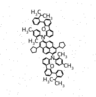 Cc1ccc(N(c2cc(C3CCCC3)c3ccc4c(N(c5ccc(C)cc5C)c5cccc6c5oc5c(-c7ccccc7C(C)C)cccc56)cc(C5CCCC5)c5ccc2c3c54)c2cccc3c2oc2c(-c4ccccc4C(C)C)cccc23)c(C)c1